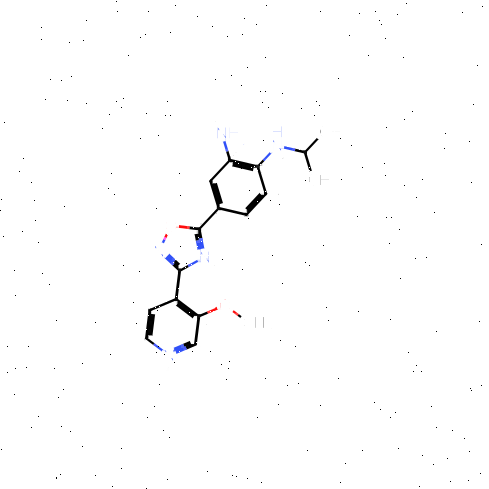 COc1cnccc1-c1noc(-c2ccc(NC(C)C)c(N)c2)n1